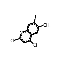 Cc1cc2c(Cl)cc(Cl)nc2cc1I